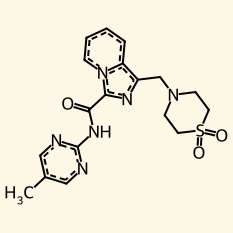 Cc1cnc(NC(=O)c2nc(CN3CCS(=O)(=O)CC3)c3ccccn23)nc1